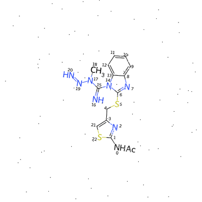 CC(=O)Nc1nc(CSc2nc3ccccc3n2C(=N)N(C)N=N)cs1